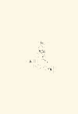 CN(C)c1ccc(-c2ccc(Cl)cc2)c(COc2ccc(-c3nc4cc(C(=O)O)ccc4n3C3CCCCC3)cc2)c1.Cl.Cl